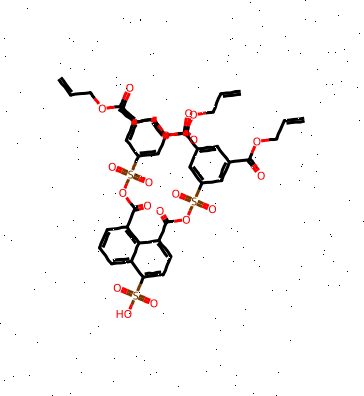 C=CCOC(=O)c1cc(C(=O)OCC=C)cc(S(=O)(=O)OC(=O)c2cccc3c(S(=O)(=O)O)ccc(C(=O)OS(=O)(=O)c4cc(C(=O)OCC=C)cc(C(=O)OCC=C)c4)c23)c1